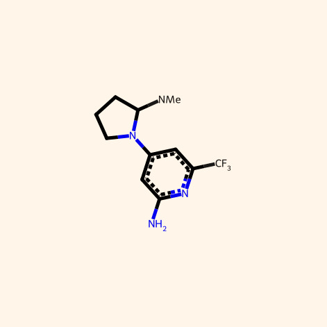 CNC1CCCN1c1cc(N)nc(C(F)(F)F)c1